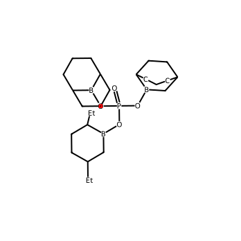 CCC1CCC(CC)B(OP(=O)(OB2CC3CCCC2CC3)OB2C3CCCC2CCC3)C1